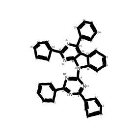 c1ccc(-c2nc(-c3ccccc3)nc(-n3c4ccccc4c4c(-c5ccccc5)nc(-c5ccccc5)nc43)n2)cc1